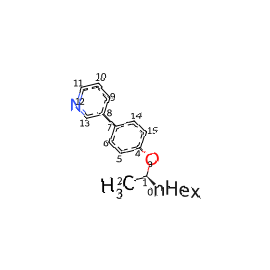 CCCCCC[C@@H](C)Oc1ccc(-c2cccnc2)cc1